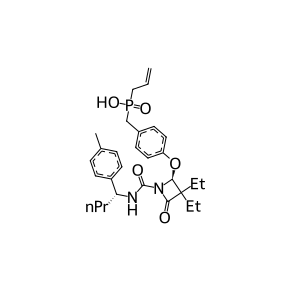 C=CCP(=O)(O)Cc1ccc(O[C@@H]2N(C(=O)N[C@H](CCC)c3ccc(C)cc3)C(=O)C2(CC)CC)cc1